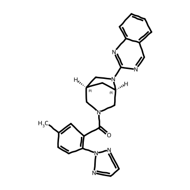 Cc1ccc(-n2nccn2)c(C(=O)N2C[C@@H]3C[C@H](C2)N(c2ncc4ccccc4n2)C3)c1